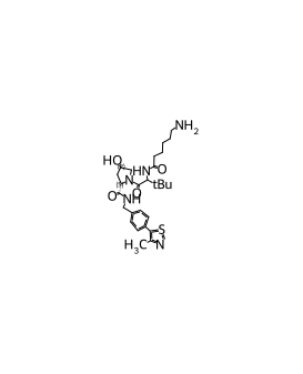 Cc1ncsc1-c1ccc(CNC(=O)[C@@H]2C[C@@H](O)CN2C(=O)C(NC(=O)CCCCCN)C(C)(C)C)cc1